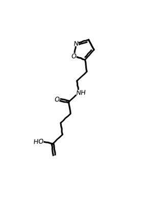 C=C(O)CCCC(=O)NCCc1ccno1